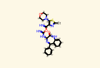 CCc1nc(C(=N)OC(=N)NC2N=C(c3ccccc3)c3ccccc3NC2=O)c(N2CCOCC2)s1